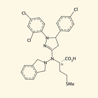 CSCC[C@@H](C(=O)O)N(C1=NN(c2ccc(Cl)cc2Cl)C(c2ccc(Cl)cc2)C1)N1Cc2ccccc2C1